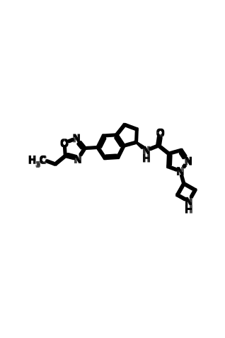 CCc1nc(-c2ccc3c(c2)CC[C@H]3NC(=O)c2cnn(C3CNC3)c2)no1